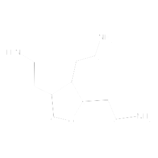 NCCC1COC(CCN)C1CCN